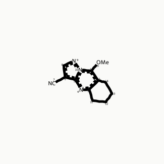 COc1c2c(nc3c(C#N)cnn13)CCCC2